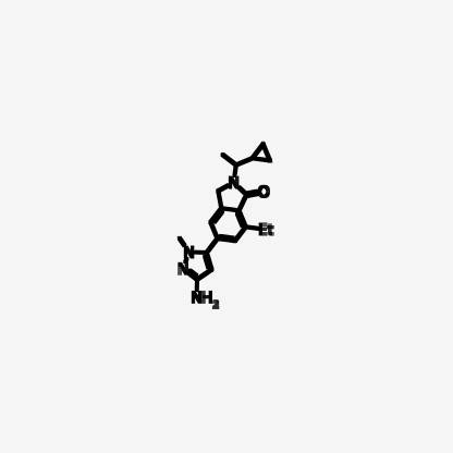 CCc1cc(-c2cc(N)nn2C)cc2c1C(=O)N(C(C)C1CC1)C2